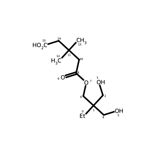 CCC(CO)(CO)COC(=O)CC(C)(C)CC(=O)O